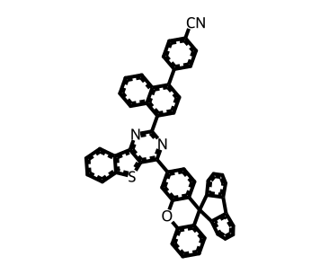 N#Cc1ccc(-c2ccc(-c3nc(-c4ccc5c(c4)Oc4ccccc4C54c5ccccc5-c5ccccc54)c4sc5ccccc5c4n3)c3ccccc23)cc1